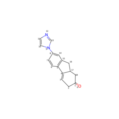 O=C1CC=C2c3ccc(-n4ccnc4)cc3CC2C1